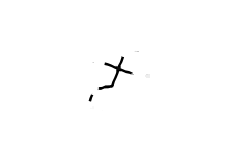 CCCCCC(CCCCC)(CCCCC)CO[SiH3]